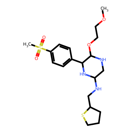 COCCOC1NCC(NCC2CCCS2)NC1c1ccc(S(C)(=O)=O)cc1